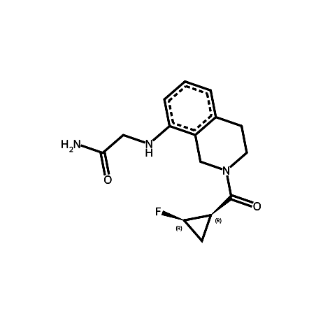 NC(=O)CNc1cccc2c1CN(C(=O)[C@H]1C[C@H]1F)CC2